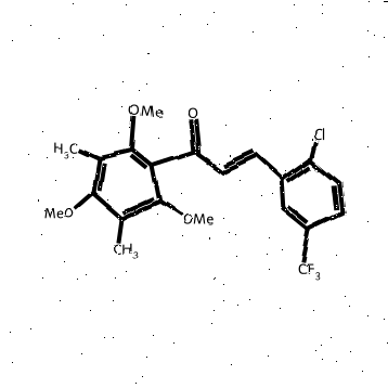 COc1c(C)c(OC)c(C(=O)C=Cc2cc(C(F)(F)F)ccc2Cl)c(OC)c1C